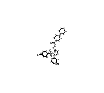 O=C(OC[C@H]1CC[C@@H](c2cccc(F)c2)N1S(=O)(=O)c1ccc(Cl)cc1)N1CCC(N2CCCCC2)CC1